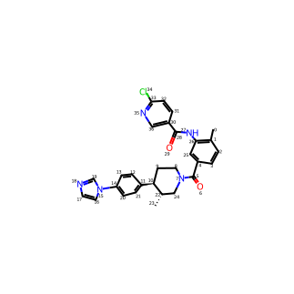 Cc1ccc(C(=O)N2CC[C@H](c3ccc(-n4ccnc4)cc3)[C@@H](C)C2)cc1NC(=O)c1ccc(Cl)nc1